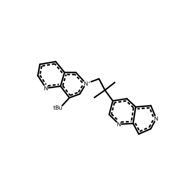 CC(C)(C)c1c[n+](CC(C)(C)c2cnc3ccncc3c2)cc2cccnc12